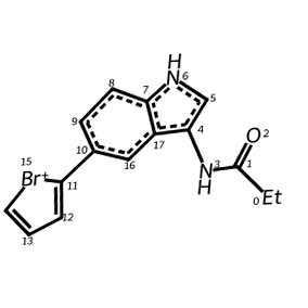 CCC(=O)Nc1c[nH]c2ccc(C3=CC=C[Br+]3)cc12